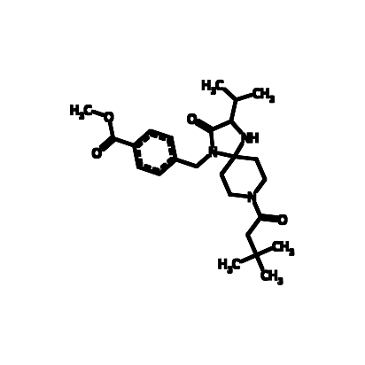 COC(=O)c1ccc(CN2C(=O)C(C(C)C)NC23CCN(C(=O)CC(C)(C)C)CC3)cc1